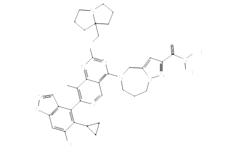 CN(C)C(=O)c1cc2n(n1)CCCN(c1nc(OCC34CCCN3CCC4)nc3c(F)c(-c4c(C5CC5)c(Cl)cc5[nH]ncc45)ncc13)C2